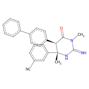 CN1C(=N)N[C@](C)(c2cccc(C#N)c2)[C@@H](c2ccc(-c3ccccc3)cc2)C1=O